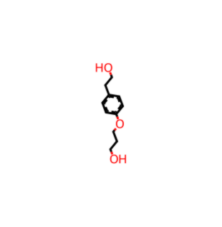 OCCCOc1ccc(CCO)cc1